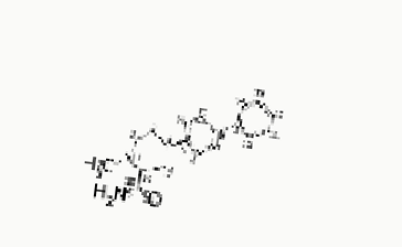 CN1CC[C@@H](c2ccc(-c3ccccc3)cc2)[CH]C1C(N)=O